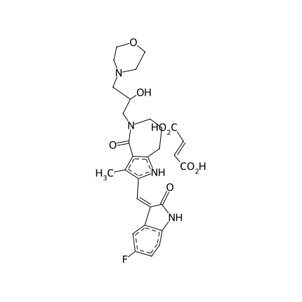 Cc1c(C=C2C(=O)Nc3ccc(F)cc32)[nH]c2c1C(=O)N(CC(O)CN1CCOCC1)CCC2.O=C(O)C=CC(=O)O